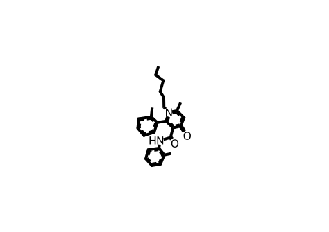 CCCCCCn1c(C)cc(=O)c(C(=O)Nc2ccccc2C)c1-c1ccccc1C